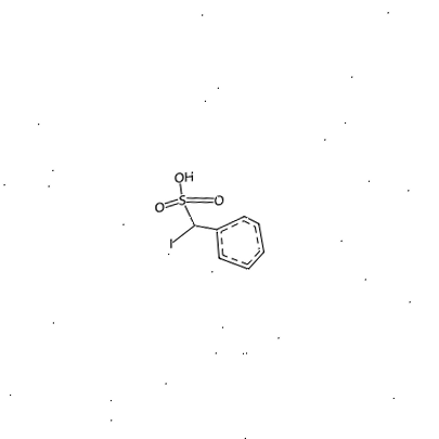 O=S(=O)(O)C(I)c1ccccc1